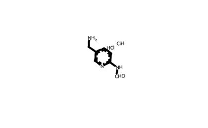 Cl.Cl.NCc1ccc(NC=O)nc1